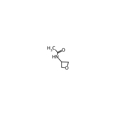 CC(=O)NC1COC1